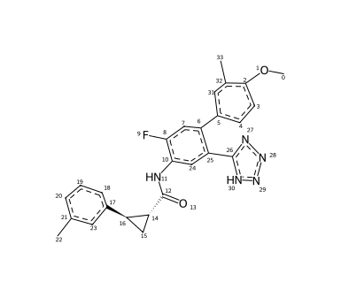 COc1ccc(-c2cc(F)c(NC(=O)[C@@H]3C[C@H]3c3cccc(C)c3)cc2-c2nnn[nH]2)cc1C